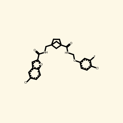 O=C(NCC12CCC(C(=O)NCOc3ccc(Cl)c(F)c3)(C1)C2)c1cc2cc(Cl)ccc2o1